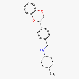 CC1CCC(NCc2ccc([C@H]3COc4ccccc4O3)cc2)CC1